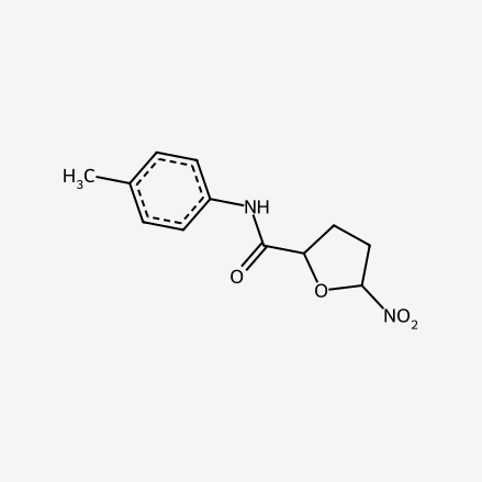 Cc1ccc(NC(=O)C2CCC([N+](=O)[O-])O2)cc1